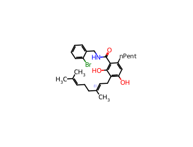 CCCCCc1cc(O)c(C/C=C(\C)CCC=C(C)C)c(O)c1C(=O)NCc1ccccc1Br